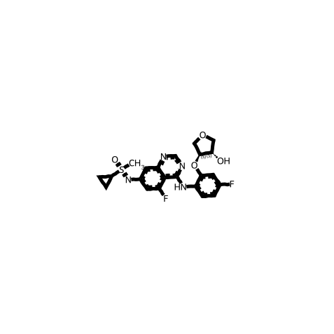 CS(=O)(=Nc1cc(F)c2c(Nc3ccc(F)cc3O[C@H]3COC[C@@H]3O)ncnc2c1)C1CC1